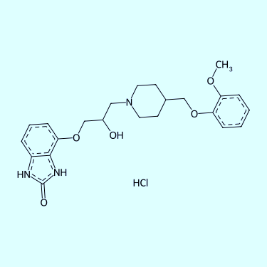 COc1ccccc1OCC1CCN(CC(O)COc2cccc3[nH]c(=O)[nH]c23)CC1.Cl